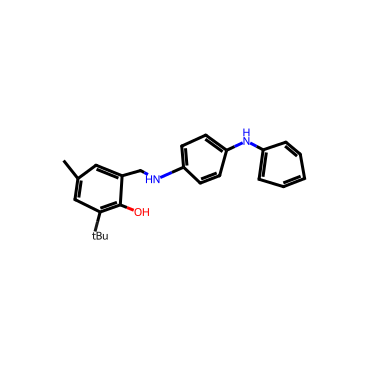 Cc1cc(CNc2ccc(Nc3ccccc3)cc2)c(O)c(C(C)(C)C)c1